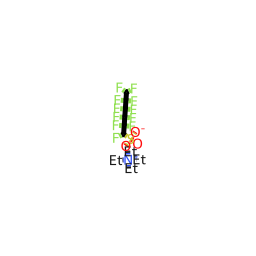 CC[N+](CC)(CC)CC.O=S(=O)([O-])C(F)C(F)(F)C(F)(F)C(F)(F)C(F)(F)C(F)F